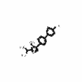 Cc1ccc(-c2ccc(-c3cnc(C(C)C)n3C)cc2)cc1